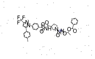 Cc1ccc(-c2cc(C(F)(F)F)nn2-c2ccc(S(=O)(=O)NC(=O)C3CCN(/[N+]([O-])=N/OC(C)OC(=O)c4ccccc4)C3)cc2)cc1